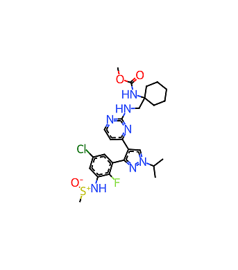 COC(=O)NC1(CNc2nccc(-c3cn(C(C)C)nc3-c3cc(Cl)cc(N[S+](C)[O-])c3F)n2)CCCCC1